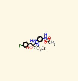 CCOC(=O)[C@@](O)(Cc1ccc(F)cc1)c1nc2cc(NS(C)(=O)=O)ccc2[nH]1